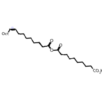 CCCCCCCC/C=C\CCCCCCCC(=O)OC(=O)CCCCCCCCC(=O)O